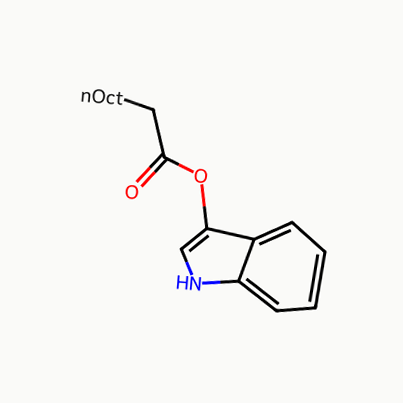 CCCCCCCCCC(=O)Oc1c[nH]c2ccccc12